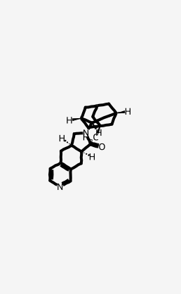 C[C@@]12CC3C[C@H](C1)[C@H](N1C[C@@H]4Cc5ccncc5C[C@@H]4C1=O)[C@@H](C3)C2